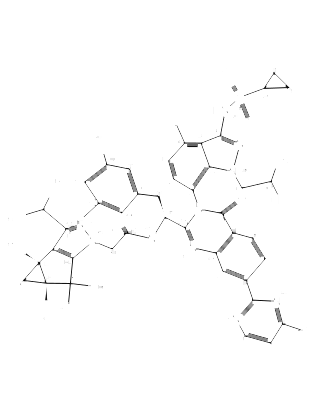 Cc1ccnc(-c2ccc3c(=O)n(-c4ccc(Cl)c5c(NS(=O)(=O)C6CC6)nn(CC(F)F)c45)c([C@H](Cc4cc(F)cc(F)c4)NC(=O)Cn4nc(C(F)F)c5c4C(F)(F)[C@@H]4C[C@H]54)nc3c2)n1